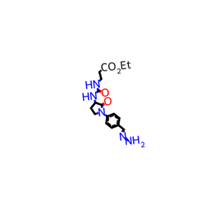 CCOC(=O)CCNC(=O)NC1CCN(c2ccc(C=NN)cc2)C1=O